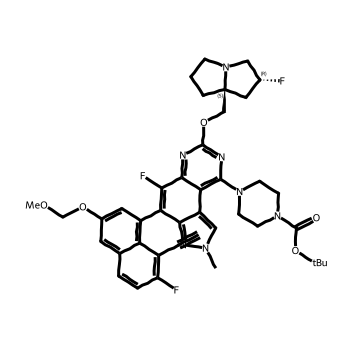 C#Cc1c(F)ccc2cc(OCOC)cc(-c3c(F)c4nc(OC[C@@]56CCCN5C[C@H](F)C6)nc(N5CCN(C(=O)OC(C)(C)C)CC5)c4c4cn(C)nc34)c12